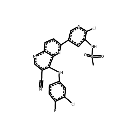 CS(=O)(=O)Nc1cc(-c2ccc3ncc(C#N)c(Nc4ccc(F)c(Cl)c4)c3n2)cnc1Cl